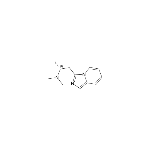 C[C@H](Cc1ncc2ccccn12)N(C)C